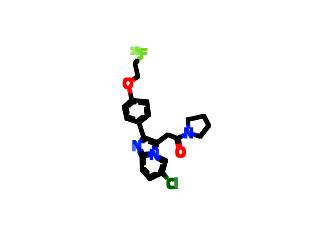 O=C(Cc1c(-c2ccc(OCC[18F])cc2)nc2ccc(Cl)cn12)N1CCCC1